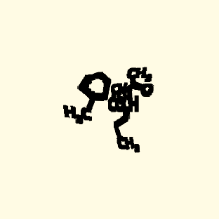 CC(=O)O.CCCOC(C)=O.Cc1ccccc1